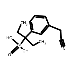 CCC(CC)(c1cccc(CC#N)c1)P(=O)(O)O